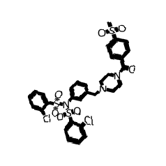 CS(=O)(=O)c1ccc(C(=O)N2CCN(Cc3cccc(N(S(=O)(=O)c4ccccc4Cl)S(=O)(=O)c4ccccc4Cl)c3)CC2)cc1